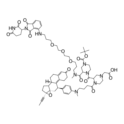 CC#C[C@]12CCC3[C@@H]4CCC5=CC(=O)CCC5=C4[C@@H](c4ccc(N(C)CCCC(=O)N5CCN(CC(=O)O)CC5C(=O)N5CCN(C(=O)OC(C)(C)C)CC5C(=O)N(C)CCCOCCOCCOCCCNc5cccc6c5C(=O)N(C5CCC(=O)NC5=O)C6=O)cc4)C[C@@]31O2